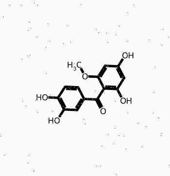 COc1cc(O)cc(O)c1C(=O)c1ccc(O)c(O)c1